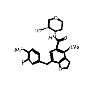 COc1c(C(=O)N[C@H]2CCOC[C@@H]2O)cc(Cc2ccc(C(=O)O)c(F)c2)c2c1CCO2